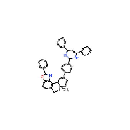 CC12C=CC(c3ccc(C4NC(c5ccccc5)=CC(c5ccccc5)N4)cc3)=CC1c1c(ccc3c1NC(c1ccccc1)O3)C=C2